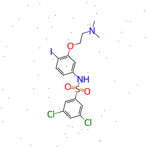 CN(C)CCOc1cc(NS(=O)(=O)c2cc(Cl)cc(Cl)c2)ccc1I